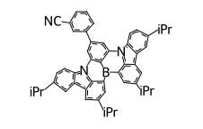 CC(C)c1ccc2c(c1)c1cc(C(C)C)cc3c1n2-c1cc(-c2cccc(C#N)c2)cc2c1B3c1cc(C(C)C)cc3c4cc(C(C)C)ccc4n-2c13